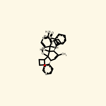 CC1=C[C@H](c2ccncc2)C(OC(C)C)(C2CCC2)C(C)(C2(Nc3ccccc3S(=O)(=O)C(C)C)C=CN=C(N)N2)[C@H]1C1CCC1